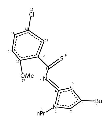 CCCn1cc(C(C)(C)C)sc1=NC(=S)c1cc(Cl)ccc1OC